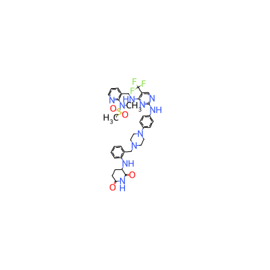 CN(c1ncccc1CNc1nc(Nc2ccc(N3CCN(Cc4ccccc4NC4CCC(=O)NC4=O)CC3)cc2)ncc1C(F)(F)F)S(C)(=O)=O